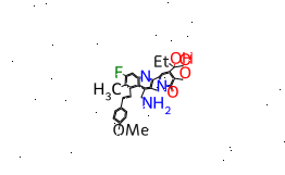 CC[C@@]1(O)C(=O)OCc2c1cc1n(c2=O)Cc2c-1nc1cc(F)c(C)c(/C=C/c3ccc(OC)cc3)c1c2CN